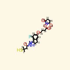 CC(C)(S)CC(=O)NN=C1CCc2cc(OCCCC(=O)ON3C(=O)CCC3=O)cc(F)c21